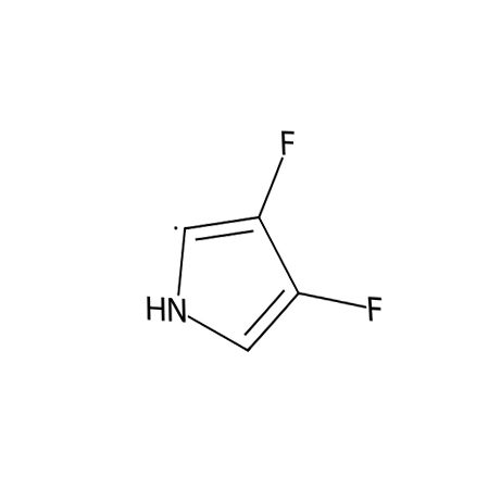 Fc1[c][nH]cc1F